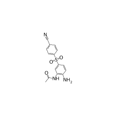 CC(=O)Nc1cc(S(=O)(=O)c2ccc(C#N)cc2)ccc1N